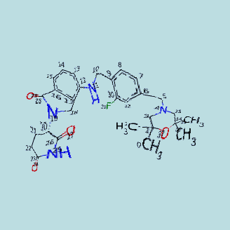 CC1(C)CN(Cc2ccc(CNc3cccc4c3CN([C@H]3CCC(=O)NC3=O)C4=O)c(F)c2)CC(C)(C)O1